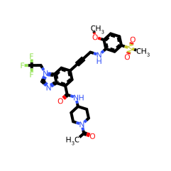 COc1ccc(S(C)(=O)=O)cc1NCC#Cc1cc(C(=O)NC2CCN(C(C)=O)CC2)c2ncn(CC(F)(F)F)c2c1